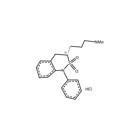 CNCCC[C@H]1Cc2ccccc2N(c2ccccc2)S1(=O)=O.Cl